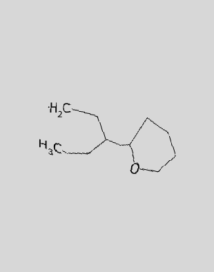 [CH2]CC(CC)C1CCCCO1